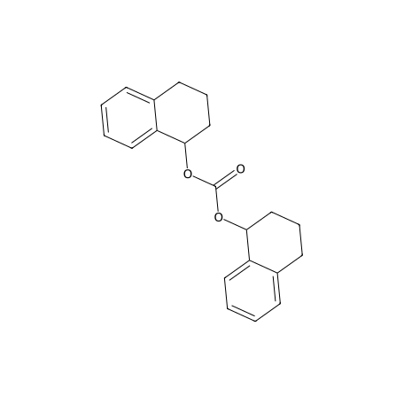 O=C(OC1CCCc2ccccc21)OC1CCCc2ccccc21